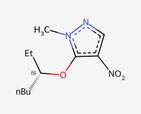 CCCC[C@H](CC)Oc1c([N+](=O)[O-])cnn1C